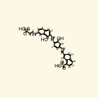 O=S(=O)(O)CCNc1ccc2ccc(N=Nc3ccc(N=Nc4ccc5cccc(S(=O)(=O)O)c5c4)cc3O)c(O)c2c1